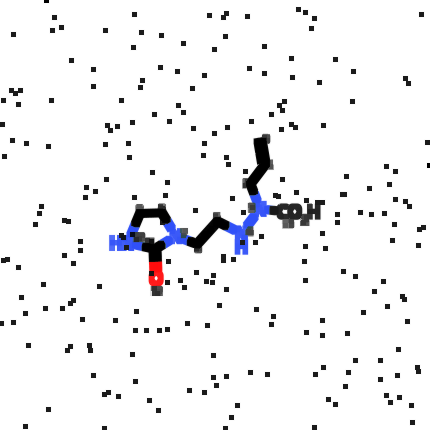 C=CCN(NCCN1CCNC1=O)C(=O)O